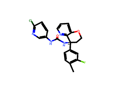 Cc1ccc([C@@]2(NC(=O)Nc3ccc(Cl)nc3)CCOc3cccnc32)cc1F